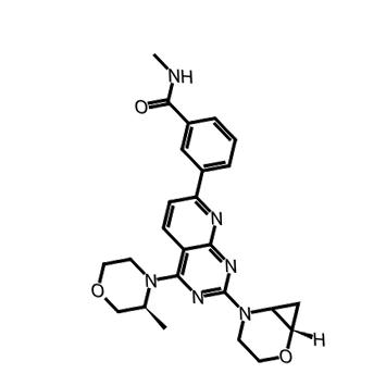 CNC(=O)c1cccc(-c2ccc3c(N4CCOC[C@@H]4C)nc(N4CCO[C@H]5CC54)nc3n2)c1